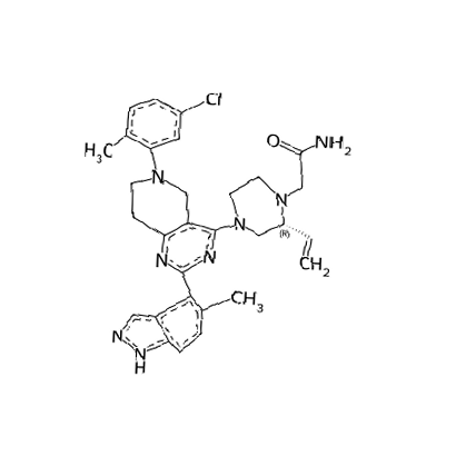 C=C[C@@H]1CN(c2nc(-c3c(C)ccc4[nH]ncc34)nc3c2CN(c2cc(Cl)ccc2C)CC3)CCN1CC(N)=O